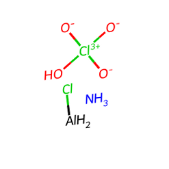 N.[AlH2][Cl].[O-][Cl+3]([O-])([O-])O